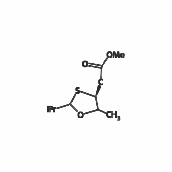 COC(=O)C[C@@H]1SC(C(C)C)OC1C